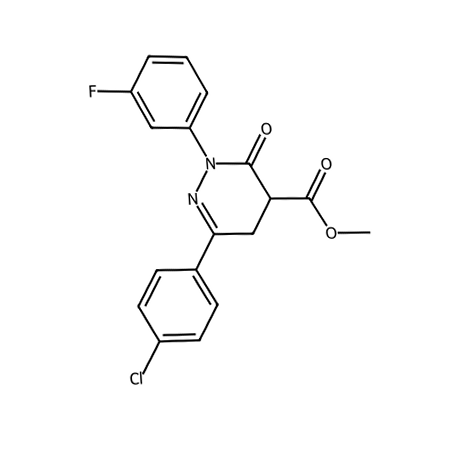 COC(=O)C1CC(c2ccc(Cl)cc2)=NN(c2cccc(F)c2)C1=O